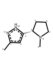 Cc1cc([C@@H]2CCCN2C)[nH]n1